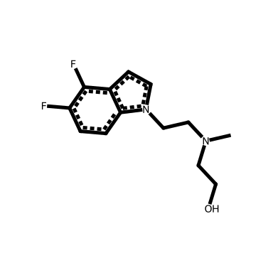 CN(CCO)CCn1ccc2c(F)c(F)ccc21